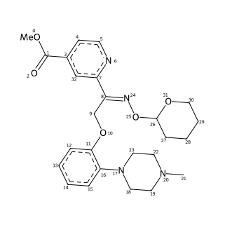 COC(=O)c1ccnc(/C(COc2ccccc2N2CCN(C)CC2)=N/OC2CCCCO2)c1